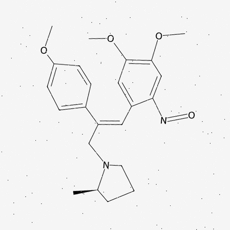 COc1ccc(/C(=C\c2cc(OC)c(OC)cc2N=O)CN2CCC[C@H]2C)cc1